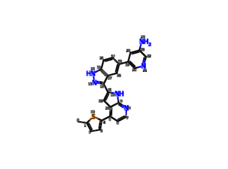 Cc1ccc(-c2ccnc3[nH]c(-c4n[nH]c5ccc(-c6cncc(N)c6)cc45)cc23)s1